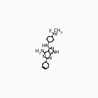 CC(F)(F)c1ccc(Nc2n[nH]c3nc(-c4cc#ccc4)nc(N)c23)cc1